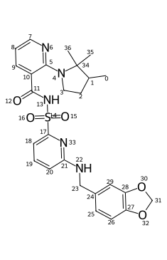 CC1CCN(c2ncccc2C(=O)NS(=O)(=O)c2cccc(NCc3ccc4c(c3)OCO4)n2)C1(C)C